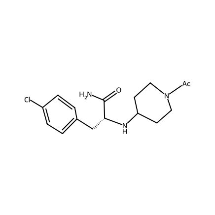 CC(=O)N1CCC(N[C@H](Cc2ccc(Cl)cc2)C(N)=O)CC1